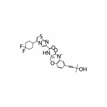 CN1C(=O)[C@@H](NC(=O)c2cn3c(C4CCC(F)(F)CC4)csc3n2)COc2ccc(C#CC(C)(C)O)cc21